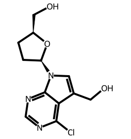 OCc1cn([C@H]2CC[C@@H](CO)O2)c2ncnc(Cl)c12